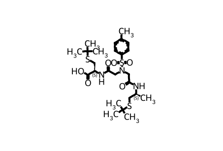 Cc1ccc(S(=O)(=O)N(CC(=O)N[C@@H](C)CSC(C)(C)C)CC(=O)N[C@H](CSC(C)(C)C)C(=O)O)cc1